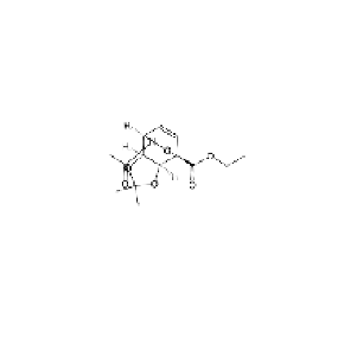 CCOC(=O)[C@@]12C=C[C@H]([C@@H]3OC(C)(C)O[C@@H]31)N(C(C)=O)O2